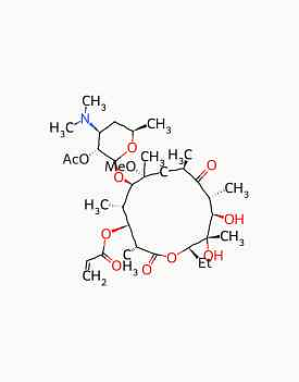 C=CC(=O)O[C@H]1[C@H](C)[C@@H](O[C@@H]2O[C@H](C)C[C@H](N(C)C)[C@H]2OC(C)=O)[C@](C)(OC)C[C@@H](C)C(=O)[C@H](C)[C@@H](O)[C@](C)(O)[C@@H](CC)OC(=O)[C@@H]1C